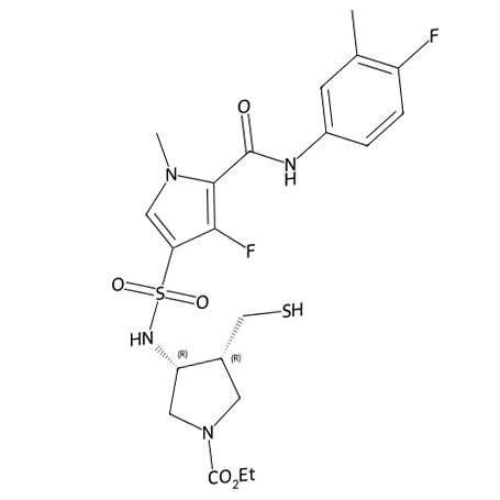 CCOC(=O)N1C[C@@H](CS)[C@@H](NS(=O)(=O)c2cn(C)c(C(=O)Nc3ccc(F)c(C)c3)c2F)C1